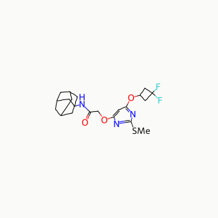 CSc1nc(OCC(=O)NC23CC4CC(CC(C4)C2)C3)cc(OC2CC(F)(F)C2)n1